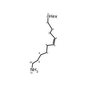 CCCCCCCCC/C=C\CCCCCN